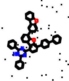 c1ccc(C2=NC(c3ccc(-c4ccc(-c5ccccc5)cc4)c4oc5c(-c6ccc7oc8ccccc8c7c6)cccc5c34)=NC(c3ccccc3)N2)cc1